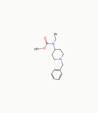 CCCOC(=O)N(CC(C)C)C1CCN(Cc2ccccc2)CC1